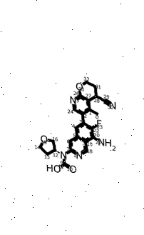 Cc1c(-c2cc3cc(N(C(=O)O)[C@@H]4CCOC4)ncc3c(N)c2F)cnc2c1C(C#N)CCO2